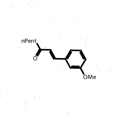 CCCCCC(=O)/C=C/c1cccc(OC)c1